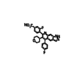 O=C(O)c1ccc(-c2nc3cc4[nH]ncc4cc3c(-c3ccc(F)cc3)c2C2CCOCC2)c(F)c1